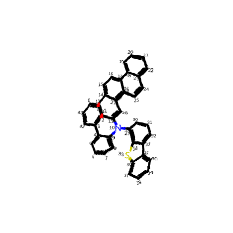 c1ccc(-c2ccccc2N(c2ccc3ccc4c5ccccc5ccc4c3c2)c2cccc3c2sc2ccccc23)cc1